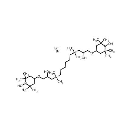 CC1(C)CC(OCC(O)C[N+](C)(C)CCCCCC[N+](C)(C)CC(O)COC2CC(C)(C)N(O)C(C)(C)C2)CC(C)(C)N1O.[Br-].[Br-]